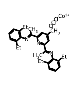 CCc1cccc(CC)c1N=C(C)c1cc(C)cc(C(C)=Nc2c(CC)cccc2CC)n1.[Cl-].[Cl-].[Cl-].[Co+3]